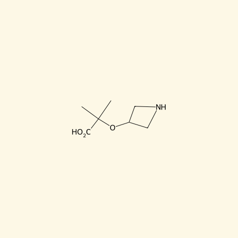 CC(C)(OC1CNC1)C(=O)O